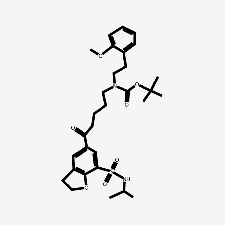 COc1ccccc1CCN(CCCCC(=O)c1cc2c(c(S(=O)(=O)NC(C)C)c1)OCC2)C(=O)OC(C)(C)C